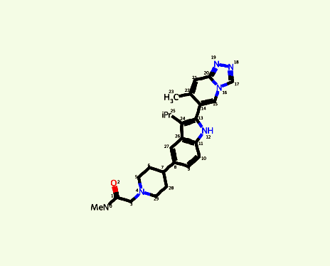 CNC(=O)CN1CCC(c2ccc3[nH]c(-c4cn5cnnc5cc4C)c(C(C)C)c3c2)CC1